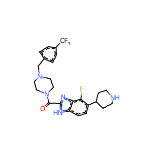 O=C(c1nc2c(F)c(C3CCNCC3)ccc2[nH]1)N1CCN(Cc2ccc(C(F)(F)F)cc2)CC1